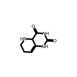 O=C1NC(=O)C2NCCC=C2N1